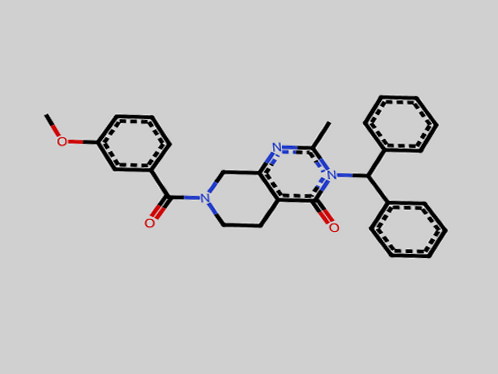 COc1cccc(C(=O)N2CCc3c(nc(C)n(C(c4ccccc4)c4ccccc4)c3=O)C2)c1